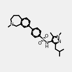 Cc1c(NS(=O)(=O)c2ccc(-c3ccc4c(c3)CN(C)CCC4)cc2)c(CC(C)C)nn1C